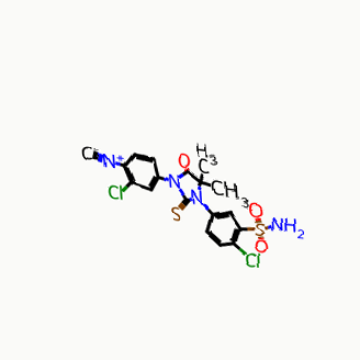 [C-]#[N+]c1ccc(N2C(=O)C(C)(C)N(c3ccc(Cl)c(S(N)(=O)=O)c3)C2=S)cc1Cl